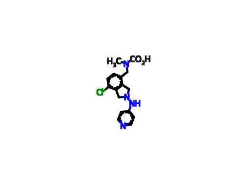 CN(Cc1ccc(Cl)c2c1CN(Nc1ccncc1)C2)C(=O)O